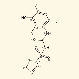 Cc1cc(C)c(NC(=O)NS(=O)(=O)c2ccsc2)c(C)c1C#N